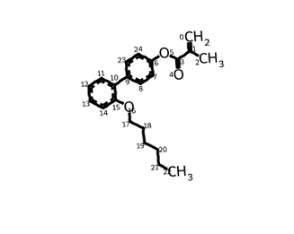 C=C(C)C(=O)Oc1ccc(-c2ccccc2OCCCCCC)cc1